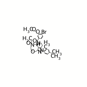 C=CC(=O)N1CCOCc2nn(-c3ccc(C(C)C)cc3C)c3c2[C@H](C1)N(C(=O)c1ccc(Br)c(OCOC)c1)CC3